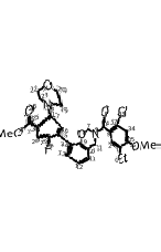 CCc1cc(C(=O)N2COc3c(cccc3-c3cc(N4CCOCC4)c(C(=O)OC)cc3F)C2)c(Cl)cc1OC